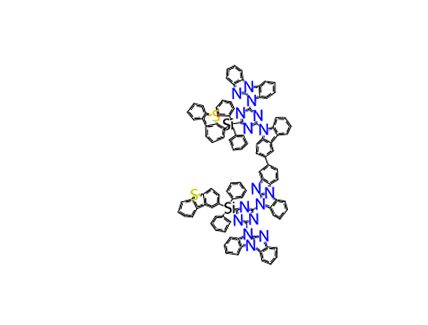 c1ccc([Si](c2ccccc2)(c2ccc3sc4ccccc4c3c2)c2nc(-n3c4ccccc4n4c5ccccc5nc34)nc(-n3c4ccccc4n4c5ccc(-c6ccc7c(c6)c6ccccc6n7-c6nc(-n7c8ccccc8n8c9ccccc9nc78)nc([Si](c7ccccc7)(c7ccccc7)c7cccc8c7sc7ccccc78)n6)cc5nc34)n2)cc1